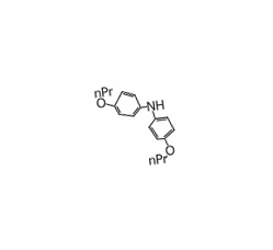 CCCOc1ccc(Nc2ccc(OCCC)cc2)cc1